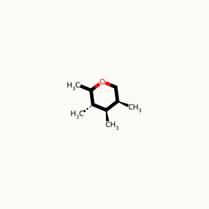 CC1OC[C@@H](C)[C@@H](C)[C@@H]1C